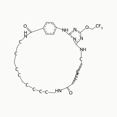 O=C1NCCCCCCCCCCCCNC(=O)c2ccc(cc2)Nc2nc(nc(OCC(F)(F)F)n2)NCc2ccc1cc2